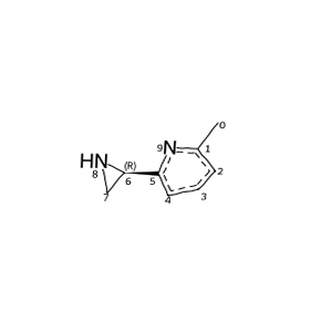 Cc1cccc([C@H]2CN2)n1